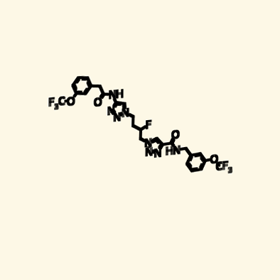 O=C(Cc1cccc(OC(F)(F)F)c1)Nc1cn(CCC(F)Cn2cc(C(=O)NCc3cccc(OC(F)(F)F)c3)nn2)nn1